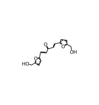 O=C(C=Cc1ccc(CO)o1)C=Cc1ccc(CO)o1